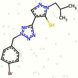 CC(C)Cn1ncc(-c2nnn(Cc3ccc(Br)cc3)n2)c1S